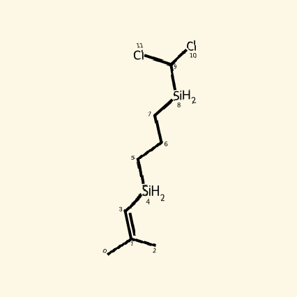 CC(C)=C[SiH2]CCC[SiH2]C(Cl)Cl